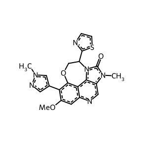 COc1cc2ncc3c4c2c(c1-c1cnn(C)c1)OCC(c1nccs1)n4c(=O)n3C